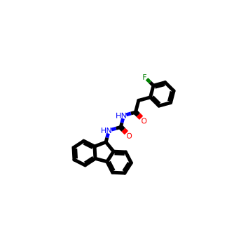 O=C(Cc1ccccc1F)NC(=O)NC1c2ccccc2-c2ccccc21